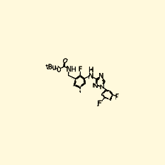 Cc1cc(CNC(=O)OC(C)(C)C)c(F)c(Nc2ncn(-c3cc(F)cc(F)c3)n2)c1